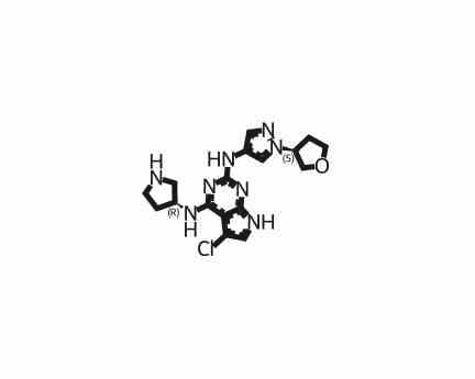 Clc1c[nH]c2nc(Nc3cnn([C@H]4CCOC4)c3)nc(N[C@@H]3CCNC3)c12